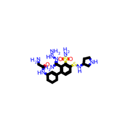 NCC(=O)NC1C=C(c2ccc(SNC3CCNC3)c(S(N)(=O)=O)c2/C(N)=N/NN)CCC1